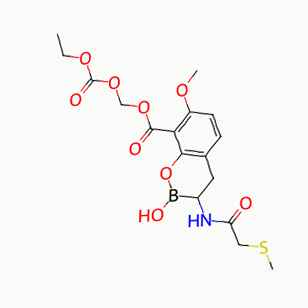 CCOC(=O)OCOC(=O)c1c(OC)ccc2c1OB(O)C(NC(=O)CSC)C2